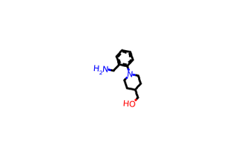 NCc1ccccc1N1CCC(CO)CC1